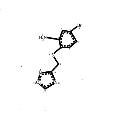 Nc1cc(Br)ccc1SCc1ncon1